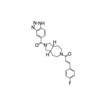 O=C(/C=C/c1ccc(F)cc1)N1CC[C@@H]2CN(C(=O)c3ccc4[nH]nnc4c3)C[C@@H]2CC1